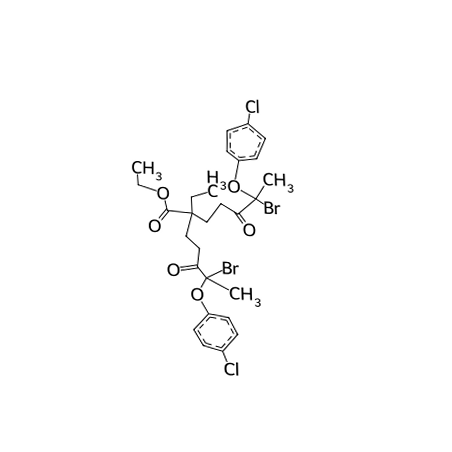 CCOC(=O)C(CC)(CCC(=O)C(C)(Br)Oc1ccc(Cl)cc1)CCC(=O)C(C)(Br)Oc1ccc(Cl)cc1